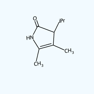 CC1=C(C)C(C(C)C)C(=O)N1